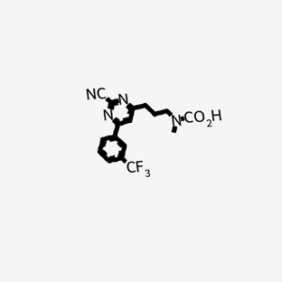 CN(CCCc1cc(-c2cccc(C(F)(F)F)c2)nc(C#N)n1)C(=O)O